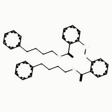 O=C(NCCCCc1ccccc1)c1ccccc1[Se][Se]c1ccccc1C(=O)NCCCCc1ccccc1